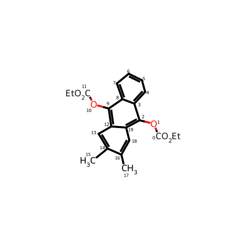 CCOC(=O)Oc1c2ccccc2c(OC(=O)OCC)c2cc(C)c(C)cc12